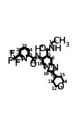 CCNC(=O)c1cc2nc(C3CCOCC3)cn2cc1NC(=O)c1cccc(C(F)(F)F)n1